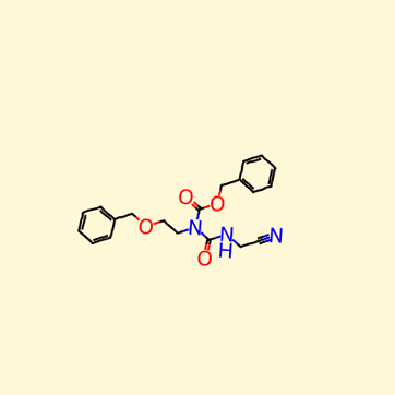 N#CCNC(=O)N(CCOCc1ccccc1)C(=O)OCc1ccccc1